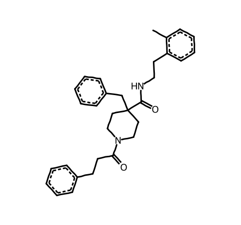 Cc1ccccc1CCNC(=O)C1(Cc2ccccc2)CCN(C(=O)CCc2ccccc2)CC1